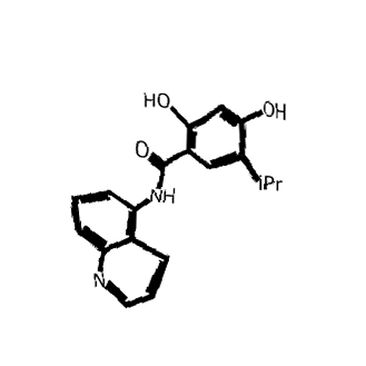 CC(C)c1cc(C(=O)Nc2cccc3ncccc23)c(O)cc1O